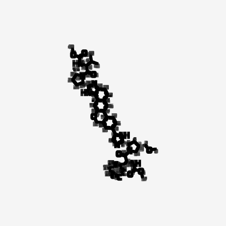 COC[C@H]1C[C@@H](c2ncc(-c3ccc4c(c3)COc3cc5c(ccc6nc([C@@H]7CC[C@H](C)N7C(=O)[C@@H](NC(=O)OC)C(C)C)[nH]c65)cc3-4)[nH]2)N(C(=O)[C@H](NC(=O)OC)[13c]2[13cH][13cH][13cH][13cH][13cH]2)C1